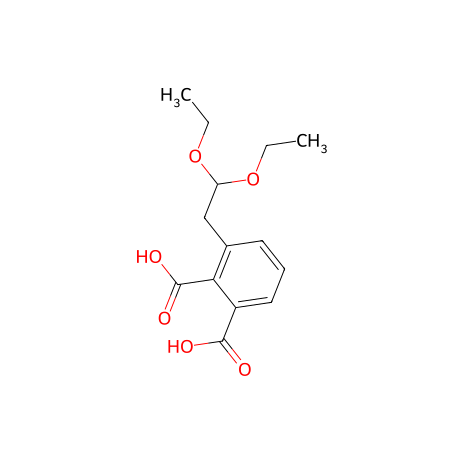 CCOC(Cc1cccc(C(=O)O)c1C(=O)O)OCC